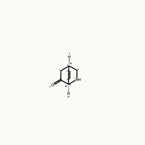 O=C1C[C@@H]2C=C[C@H]1NC2